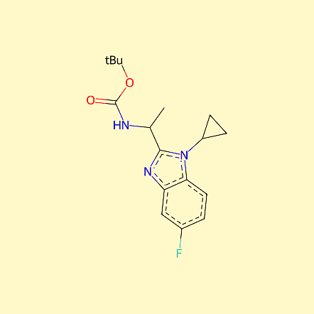 CC(NC(=O)OC(C)(C)C)c1nc2cc(F)ccc2n1C1CC1